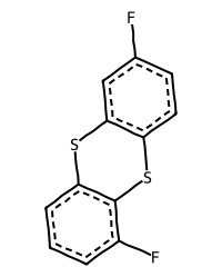 Fc1ccc2c(c1)Sc1cccc(F)c1S2